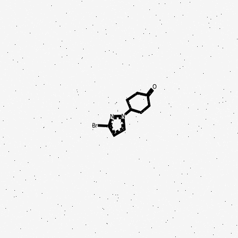 O=C1CCC(n2ccc(Br)n2)CC1